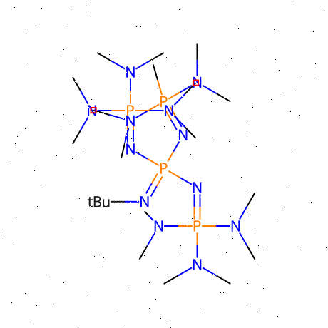 CN(C)P(C)(=NP(=NC(C)(C)C)(N=P(N(C)C)(N(C)C)N(C)C)N=P(N(C)C)(N(C)C)N(C)C)N(C)C